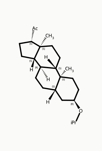 CC(=O)[C@H]1CC[C@H]2[C@@H]3CC[C@H]4C[C@H](OC(C)C)CC[C@]4(C)[C@H]3CC[C@]12C